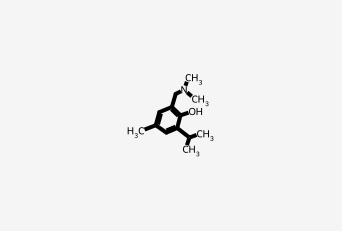 Cc1cc(CN(C)C)c(O)c(C(C)C)c1